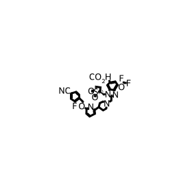 N#Cc1ccc(COc2cccc(C3CCN(Cc4nc5c(OC(F)F)cc(C(=O)O)cc5n4C[C@@H]4CCS4(=O)=O)CC3)n2)c(F)c1